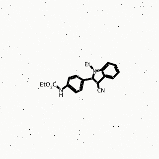 CCOC(=O)Nc1ccc(C2C(C#N)c3ccccc3N2CC)cc1